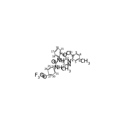 CC1=NN(c2cc(C)ccc2Cl)C(Oc2ccccc2NC(=O)Nc2ccc(OC(F)(F)F)cc2)C1